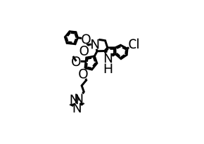 COc1cc(C2c3[nH]c4ccc(Cl)cc4c3CCN2C(=O)Oc2ccccc2)ccc1OCCCn1cncn1